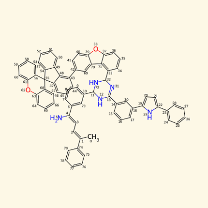 C/C(=C\C=C(/N)c1cccc(C2NC(c3cccc(-c4ccc(-c5ccccc5)[nH]4)c3)=NC(c3cccc4oc5ccc(-c6cccc7c6-c6ccccc6C76c7ccccc7Oc7ccccc76)cc5c34)N2)c1)c1ccccc1